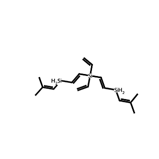 C=C[Si](C=C)(C=C[SiH2]C=C(C)C)C=C[SiH2]C=C(C)C